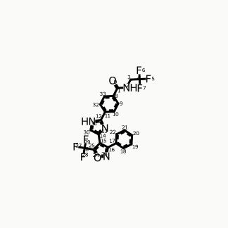 O=C(NCC(F)(F)F)c1ccc(-c2nc(-c3c(-c4ccccc4)noc3C(F)(F)F)c[nH]2)cc1